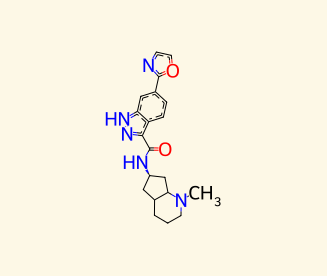 CN1CCCC2C[C@@H](NC(=O)c3n[nH]c4cc(-c5ncco5)ccc34)CC21